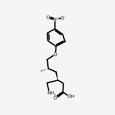 C[C@H](COc1ccc([N+](=O)[O-])cc1)C[C@H](CN)CC(=O)O